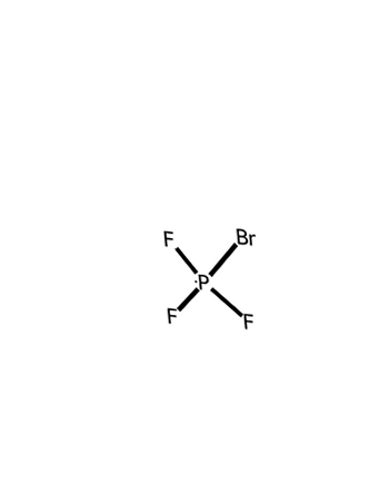 F[P](F)(F)Br